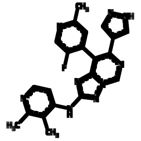 Cc1cc(-c2c(-c3cn[nH]c3)ncn3nc(Nc4ccnc(C)c4C)nc23)c(F)cn1